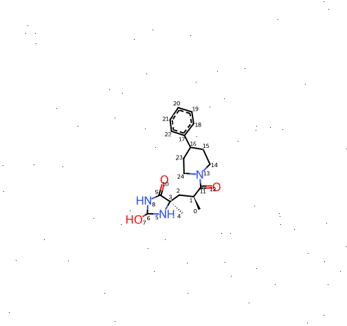 C[C@@H](C[C@@]1(C)NC(O)NC1=O)C(=O)N1CCC(c2ccccc2)CC1